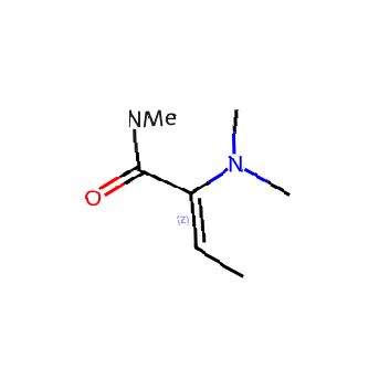 C/C=C(/C(=O)NC)N(C)C